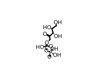 O=C(COP(=O)(O)OP(=O)(O)O)[C@@H](O)[C@H](O)CO